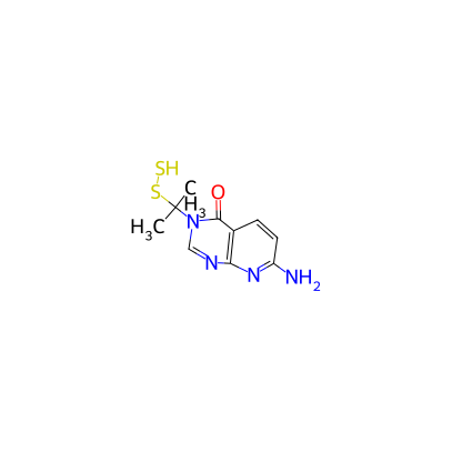 CC(C)(SS)n1cnc2nc(N)ccc2c1=O